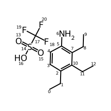 CCc1ccc(N)c(CC)c1CC.O=S(=O)(O)C(F)(F)F